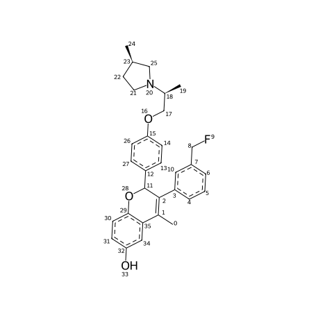 CC1=C(c2cccc(CF)c2)C(c2ccc(OC[C@H](C)N3CC[C@@H](C)C3)cc2)Oc2ccc(O)cc21